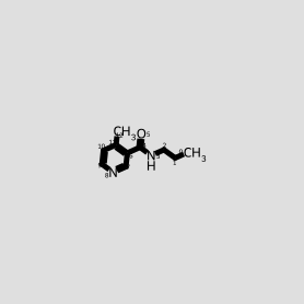 CCCNC(=O)c1cnccc1C